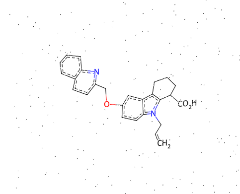 C=CCn1c2c(c3cc(OCc4ccc5ccccc5n4)ccc31)CCCC2C(=O)O